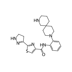 O=C(Nc1ccccc1N1CCC2(CCCNC2)CC1)c1csc(C2=NNCC2)n1